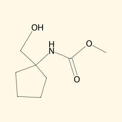 COC(=O)NC1(CO)CCCC1